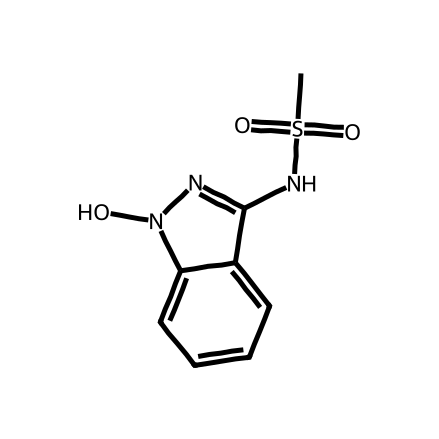 CS(=O)(=O)Nc1nn(O)c2ccccc12